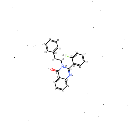 O=c1c2ccccc2nc(-c2ccccc2F)n1CCc1ccccc1